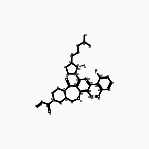 C=CC(=O)N1CCN2C(=O)c3c(N4CCC(OCCN(C)C)[C@@H]4C)nc(-c4c(O)cccc4F)c(Cl)c3OCC2C1